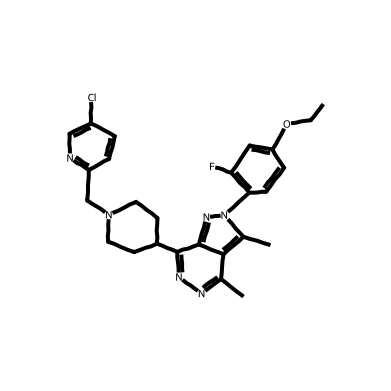 CCOc1ccc(-n2nc3c(C4CCN(Cc5ccc(Cl)cn5)CC4)nnc(C)c3c2C)c(F)c1